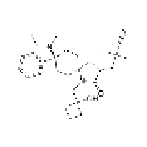 CCN(C)[C@]1(c2ccccc2)CC[C@]2(CC1)CN(CC(C)(C)C#N)C(=O)N2CC1(O)CCC1